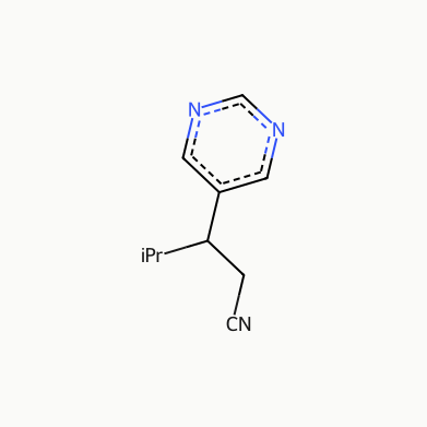 CC(C)C(CC#N)c1cncnc1